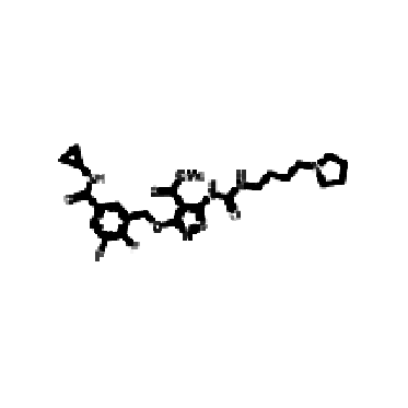 COC(=O)c1c(OCc2cc(C(=O)NC3CC3)cc(F)c2F)nsc1NC(=O)NCCCCN1CCCC1